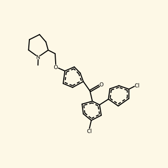 CN1CCCCC1COc1ccc(C(=O)c2ccc(Cl)cc2-c2ccc(Cl)cc2)cc1